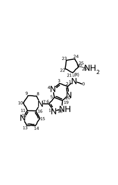 CN(c1cnc2c(N3CCCc4ncccc43)n[nH]c2n1)[C@@H]1CCC[C@@H]1N